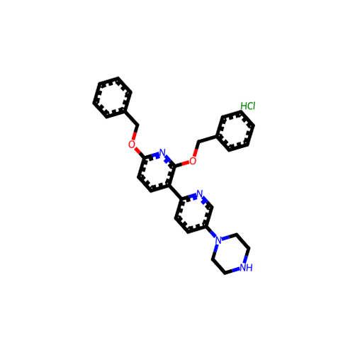 Cl.c1ccc(COc2ccc(-c3ccc(N4CCNCC4)cn3)c(OCc3ccccc3)n2)cc1